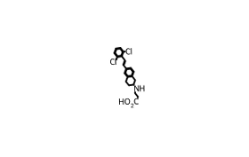 O=C(O)CCNC1CCc2cc(C=Cc3c(Cl)cccc3Cl)ccc2C1